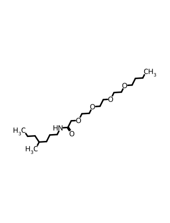 CCCCOCCOCCOCCOCC(=O)NCCCC(C)CCC